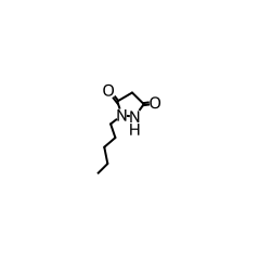 CCCCCN1NC(=O)CC1=O